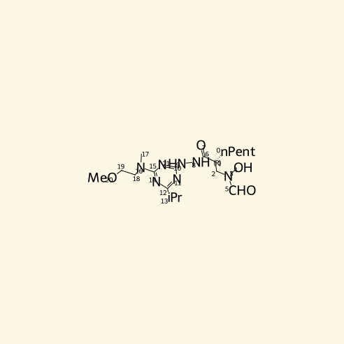 CCCCC[C@H](CN(O)C=O)C(=O)NNc1nc(C(C)C)nc(N(C)CCOC)n1